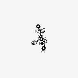 O=C(NCc1ccc(Cl)cc1)c1cn(CCN2CCOCC2)c2sc(CN3CCOC[C@@H]3[C@@H](O)c3ccccc3)cc2c1=O